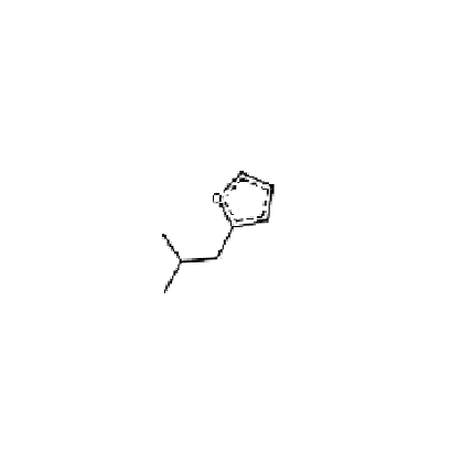 CC(C)[CH]c1ccco1